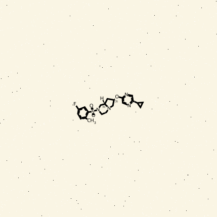 Cc1ccc(F)cc1S(=O)(=O)N1CCN2C[C@@H](Oc3cnc(C4CC4)cn3)C[C@H]2C1